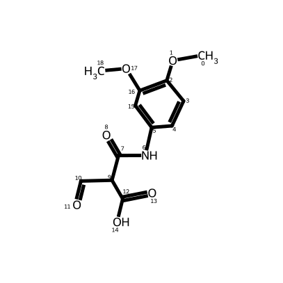 COc1ccc(NC(=O)C(C=O)C(=O)O)cc1OC